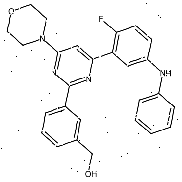 OCc1cccc(-c2nc(-c3cc(Nc4ccccc4)ccc3F)cc(N3CCOCC3)n2)c1